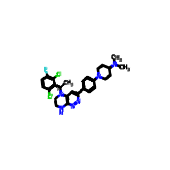 C[C@H](c1c(Cl)ccc(F)c1Cl)N1CCNc2nnc(-c3ccc(N4CCC(N(C)C)CC4)cc3)cc21